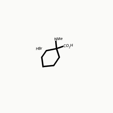 Br.CNC1(C(=O)O)CCCCC1